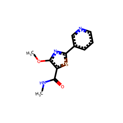 CNC(=O)c1sc(-c2cccnc2)nc1OC